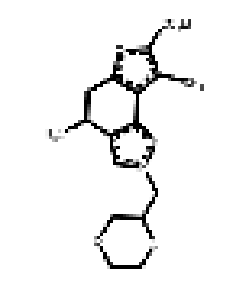 CCOC(=O)c1oc2c(c1C)-c1nn(CC3COCCO3)cc1C(C)C2